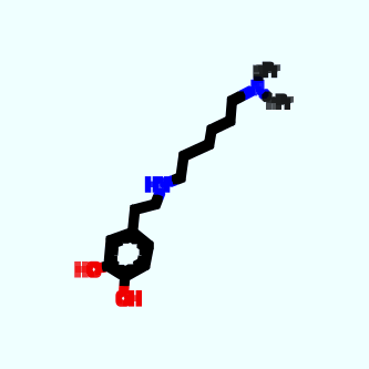 CCCN(CCC)CCCCCCNCCc1ccc(O)c(O)c1